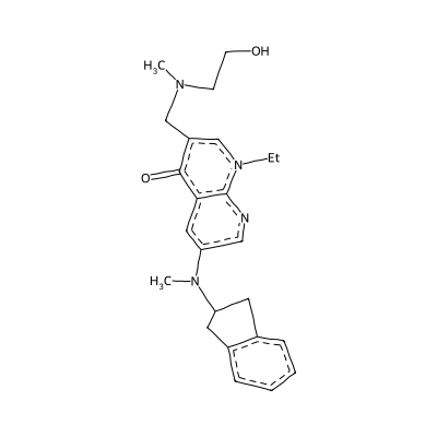 CCn1cc(CN(C)CCO)c(=O)c2cc(N(C)C3Cc4ccccc4C3)cnc21